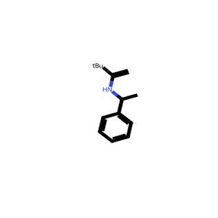 C=C(NC(C)c1ccccc1)C(C)(C)C